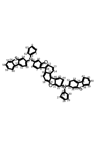 c1ccc(N(c2ccc3c(c2)oc2ccc4c(ccc5oc6cc(N(c7ccccc7)c7ccc8c(c7)sc7ccccc78)ccc6c54)c23)c2ccc3c(c2)sc2ccccc23)cc1